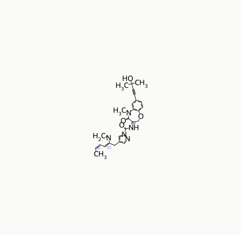 C=N/C(=C\C=C/C)Cc1cnn(C(=O)N[C@H]2COc3ccc(C#CC(C)(C)O)cc3N(C)C2=O)c1